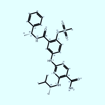 CC(C)[C@@H](C)Nc1nc(Nc2ccc(OS(C)(=O)=O)c(C(=O)N[C@H](C)c3ccccc3)c2)ncc1C(N)=O